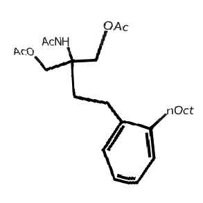 CCCCCCCCc1ccccc1CCC(COC(C)=O)(COC(C)=O)NC(C)=O